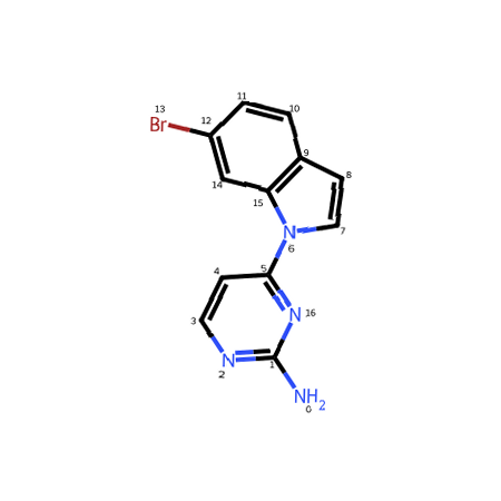 Nc1nccc(-n2ccc3ccc(Br)cc32)n1